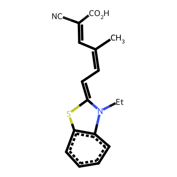 CCN1C(=CC=C(C)C=C(C#N)C(=O)O)Sc2ccccc21